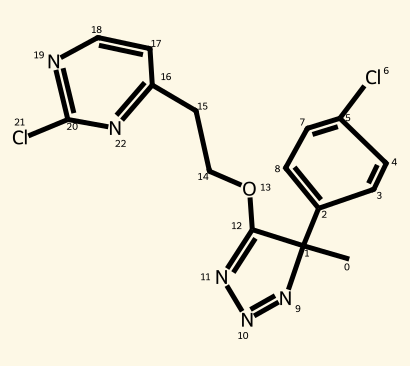 CC1(c2ccc(Cl)cc2)N=NN=C1OCCc1ccnc(Cl)n1